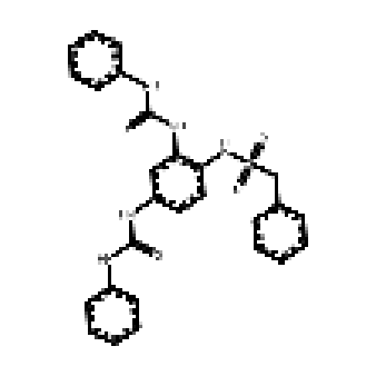 O=C(Nc1ccccc1)Nc1ccc(NS(=O)(=O)Cc2ccccc2)c(NC(=O)Nc2ccccc2)c1